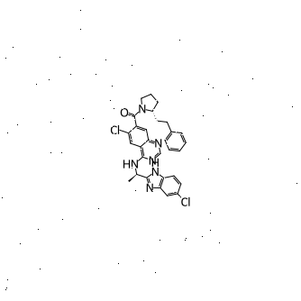 C[C@@H](Nc1ncnc2cc(C(=O)N3CCC[C@@H]3CCc3ccccc3)c(Cl)cc12)c1nc2cc(Cl)ccc2[nH]1